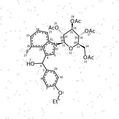 CCOc1ccc(C(O)c2cn([C@@H]3O[C@H](COC(C)=O)[C@@H](OC(C)=O)[C@H](OC(C)=O)[C@H]3OC(C)=O)c3cccc(F)c23)cc1